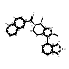 C[C@H]1c2nn(C)c(-c3cccc4nonc34)c2CCN1C(=O)c1ccc2ncccc2c1